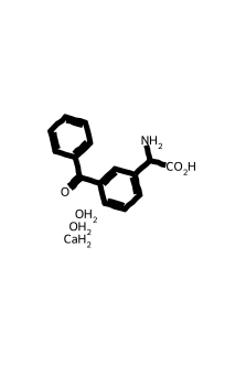 NC(C(=O)O)c1cccc(C(=O)c2ccccc2)c1.O.O.[CaH2]